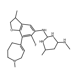 CNC1CC(C)NC(Nc2cc3c(c(C4=CCN(C)CCC4)c2F)OCC3C)N1